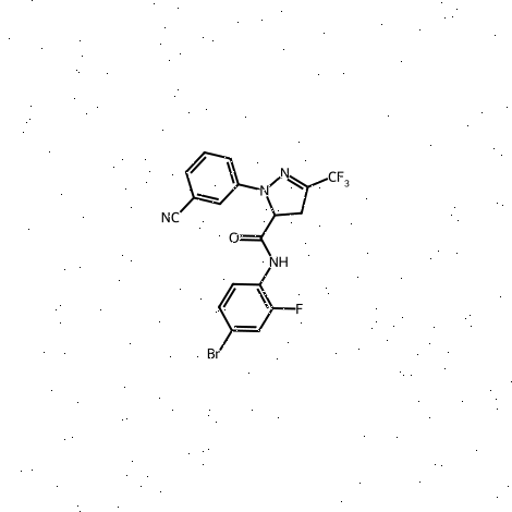 N#Cc1cccc(N2N=C(C(F)(F)F)CC2C(=O)Nc2ccc(Br)cc2F)c1